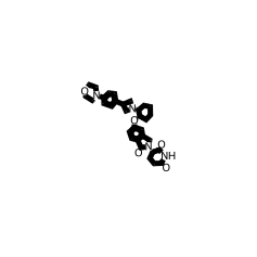 O=C1CCC(N2Cc3cc(O[C@@H]4CCCC[C@H]4N4CC(c5ccc(N6CCOCC6)cc5)C4)ccc3C2=O)C(=O)N1